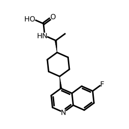 CC(NC(=O)O)[C@H]1CC[C@@H](c2ccnc3ccc(F)cc32)CC1